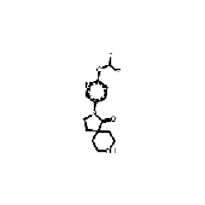 O=C1N(c2ccc(OC(F)F)nc2)CCC12CCNCC2